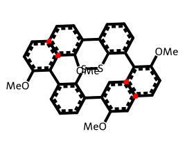 COc1ccccc1-c1cccc(-c2ccccc2OC)c1SSc1c(-c2ccccc2OC)cccc1-c1ccccc1OC